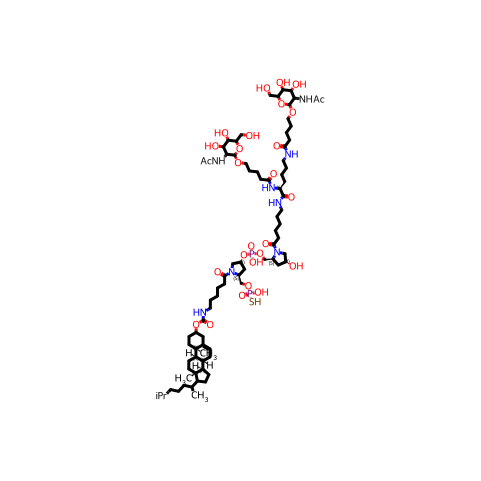 CC(=O)NC1C(OCCCCC(=O)NCCCC[C@H](NC(=O)CCCCOC2OC(CO)C(O)C(O)C2NC(C)=O)C(=O)NCCCCCC(=O)N2C[C@H](O)C[C@H]2COP(=O)(O)O[C@@H]2C[C@@H](COP(=O)(O)S)N(C(=O)CCCCCNC(=O)OC3CC[C@@]4(C)C(=CC[C@@H]5[C@H]4CC[C@]4(C)C(C(C)CCCC(C)C)CC[C@H]54)C3)C2)OC(CO)C(O)C1O